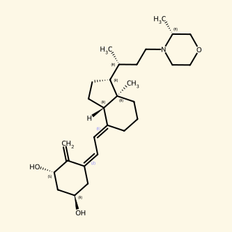 C=C1/C(=C\C=C2/CCC[C@]3(C)[C@@H]([C@H](C)CCN4CCOC[C@H]4C)CC[C@@H]23)C[C@@H](O)C[C@@H]1O